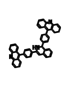 c1ccc2nc3c(c(-c4ccc(C5NC(c6ccc(-c7c8ccccc8nc8ccccc78)cc6)=Cc6ccccc65)cc4)c2c#1)CCC=C3